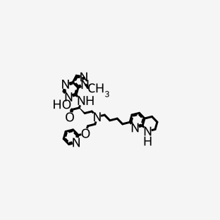 Cn1ncc2ncnc(N[C@@H](CCN(CCCCc3ccc4c(n3)NCCC4)CCOc3ccccn3)C(=O)O)c21